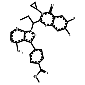 CCC(c1nc2cc(F)c(F)cc2c(=O)n1C1CC1)n1nc(-c2ccc(C(=O)NC)cc2)c2c(N)ncnc21